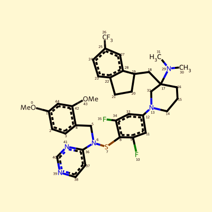 COc1ccc(CN(Sc2c(F)cc(N3CCCC(CC4CCc5ccc(C(F)(F)F)cc54)(N(C)C)C3)cc2F)c2ccncn2)c(OC)c1